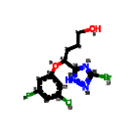 OCCCC(Oc1cc(F)cc(Cl)c1)c1nc(Br)n[nH]1